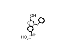 O=C(O)Nc1ccc2c(c1)N(Cc1ccccc1)CC(CO)O2